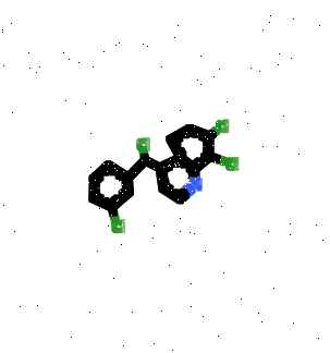 Clc1cccc(C(Cl)c2ccnc3c(Cl)c(Cl)ccc23)c1